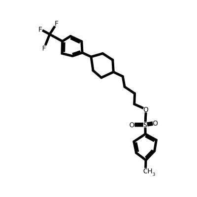 Cc1ccc(S(=O)(=O)OCCCCC2CCC(c3ccc(C(F)(F)F)cc3)CC2)cc1